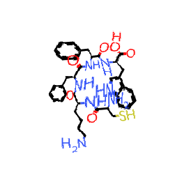 NCCCC[C@H](NC(=O)[C@@H](N)CS)C(=O)N[C@@H](Cc1ccccc1)C(=O)N[C@@H](Cc1ccccc1)C(=O)N[C@H](Cc1c[nH]c2ccccc12)C(=O)O